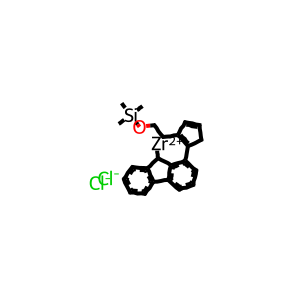 C[Si](C)(C)OCCC1=C(c2cccc3c2[CH]([Zr+2])c2ccccc2-3)CC=C1.[Cl-].[Cl-]